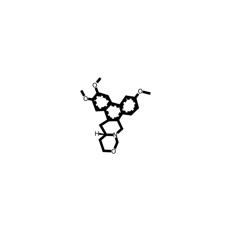 COc1ccc2c3c(c4cc(OC)c(OC)cc4c2c1)C[C@H]1CCOCN1C3